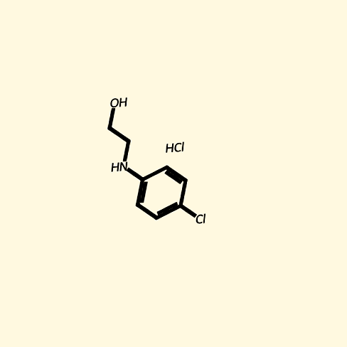 Cl.OCCNc1ccc(Cl)cc1